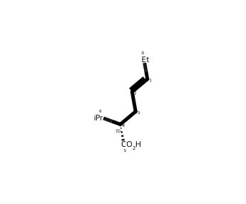 CCC=CC[C@H](C(=O)O)C(C)C